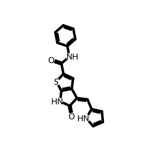 O=C1Nc2sc(C(=O)Nc3ccccc3)cc2/C1=C/c1ccc[nH]1